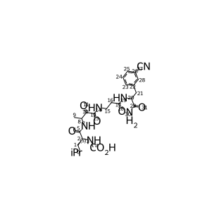 CC(C)C[C@H](NC(=O)O)C(=O)NC(C)C(=O)C(=O)NCCC(=O)NC(Cc1cccc(C#N)c1)C(N)=O